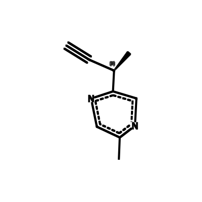 C#C[C@@H](C)c1cnc(C)cn1